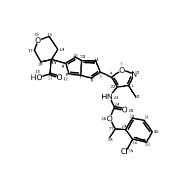 Cc1noc(C2=CC3=CC(C4(C(=O)O)CCOCC4)=CC3=C2)c1NC(=O)OC(C)c1ccccc1Cl